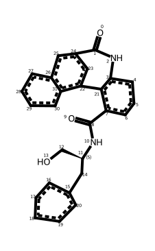 O=C1Nc2cccc(C(=O)N[C@H](CO)Cc3ccccc3)c2-c2cc1cc1ccccc21